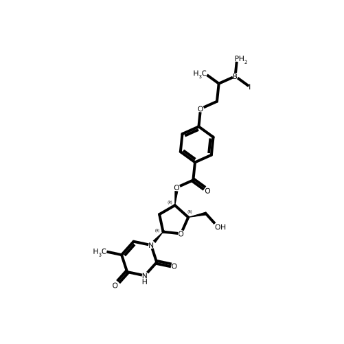 Cc1cn([C@H]2C[C@@H](OC(=O)c3ccc(OCC(C)B(P)I)cc3)[C@@H](CO)O2)c(=O)[nH]c1=O